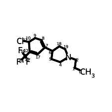 CCCN1CCC(C2=CCC(Cl)C(C(F)(F)F)=C2)CC1